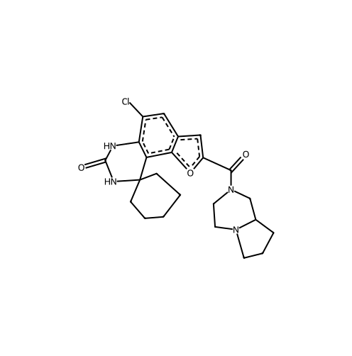 O=C1Nc2c(Cl)cc3cc(C(=O)N4CCN5CCCC5C4)oc3c2C2(CCCCC2)N1